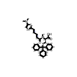 CN(C)c1cnc(/C=C/C=C/C(=O)N(C)[C@H](CSC(c2ccccc2)(c2ccccc2)c2ccccc2)C(=O)O)s1